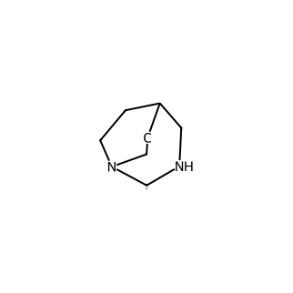 [CH]1NCC2CCN1CC2